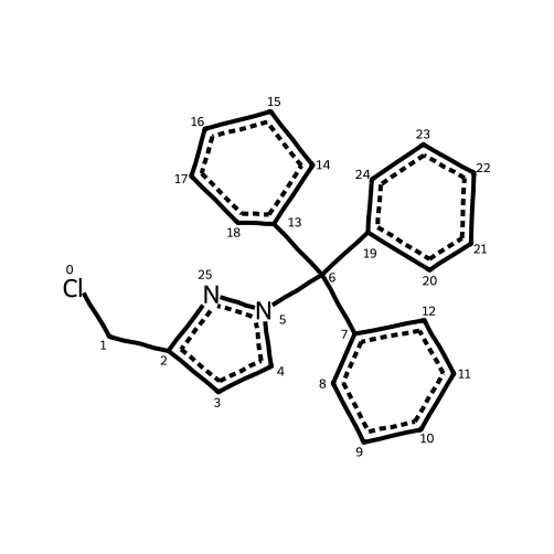 ClCc1ccn(C(c2ccccc2)(c2ccccc2)c2ccccc2)n1